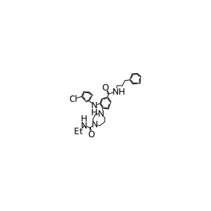 CCNC(=O)N1CCCN(c2ccc(C(=O)NCCCc3ccccc3)cc2Nc2cccc(Cl)c2)CC1